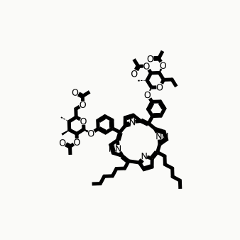 CCCCCCc1c2nc(c(CCCCCC)c3ccc([nH]3)c(-c3cccc(O[C@H]4OC(CC)[C@H](OC(C)=O)C(OC(C)=O)[C@H]4C)c3)c3nc(c(-c4cccc(O[C@@H]5OC(COC(C)=O)[C@@H](C)[C@H](C)C5OC(C)=O)c4)c4ccc1[nH]4)C=C3)C=C2